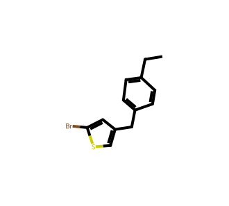 CCc1ccc(Cc2csc(Br)c2)cc1